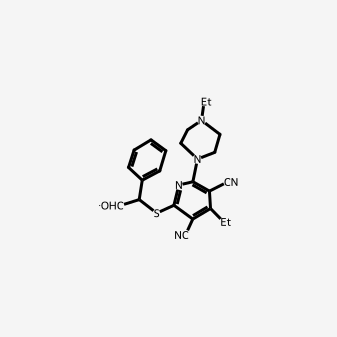 CCc1c(C#N)c(SC([C]=O)c2ccccc2)nc(N2CCN(CC)CC2)c1C#N